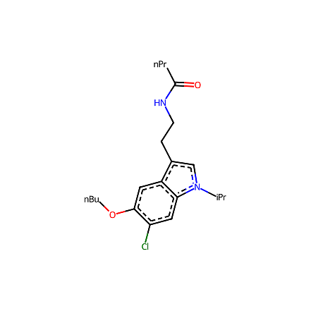 CCCCOc1cc2c(CCNC(=O)CCC)cn(C(C)C)c2cc1Cl